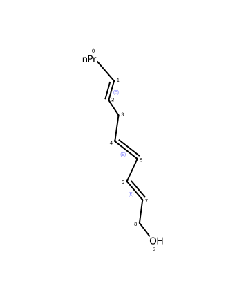 CCC/C=C/C/C=C/C=C/CO